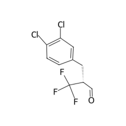 O=C[C@@H](Cc1ccc(Cl)c(Cl)c1)C(F)(F)F